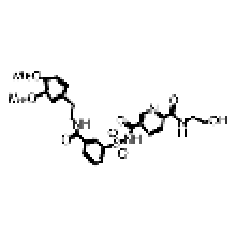 COc1ccc(CCNC(=O)c2cccc(S(=O)(=O)NC(=O)c3ccc(C(=O)NCCO)nc3)c2)cc1OC